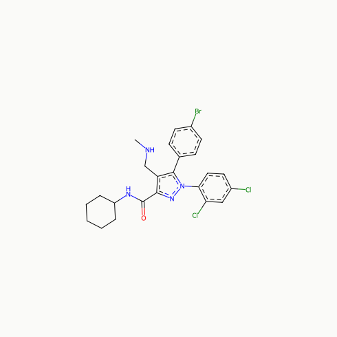 CNCc1c(C(=O)NC2CCCCC2)nn(-c2ccc(Cl)cc2Cl)c1-c1ccc(Br)cc1